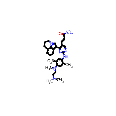 Cc1cc(N(C)CCN(C)C)c([N+](=O)[O-])cc1Nc1ncc(C=CC(N)=O)c(-c2cn3c4c(cccc24)CCC3)n1